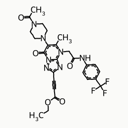 CCOC(=O)C#Cc1nc2n(CC(=O)Nc3ccc(C(F)(F)F)cc3)c(C)c(N3CCN(C(C)=O)CC3)c(=O)n2n1